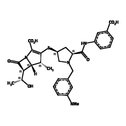 CNc1cccc(CN2C[C@@H](SC3=C(C(=O)O)N4C(=O)[C@H]([C@@H](C)O)[C@H]4[C@H]3C)C[C@H]2C(=O)Nc2cccc(C(=O)O)c2)c1